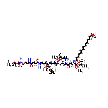 CC(C)(C)OC(=O)NOCCNC(=O)CCC(=O)NCCCN(CCCCN(CCCNC(=O)CC[C@H](NC(=O)CCCCCCCCCCCCCC(=O)O)C(=O)OC(C)(C)C)C(=O)OC(C)(C)C)C(=O)OC(C)(C)C